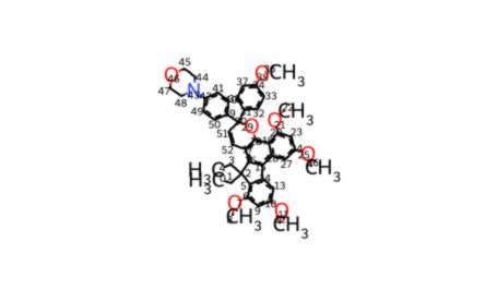 CCC1(CC)c2c(OC)cc(OC)cc2-c2c1c1c(c3c(OC)cc(OC)cc23)OC(c2ccc(OC)cc2)(c2ccc(N3CCOCC3)cc2)C=C1